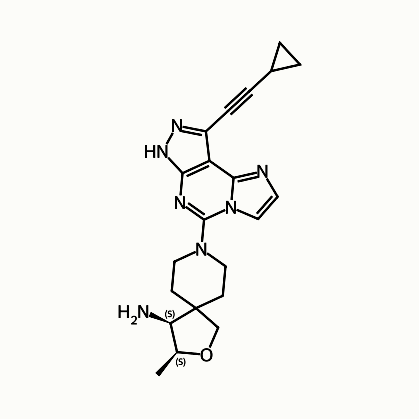 C[C@@H]1OCC2(CCN(c3nc4[nH]nc(C#CC5CC5)c4c4nccn34)CC2)[C@@H]1N